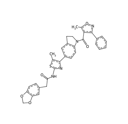 Cc1onc(-c2ccccc2)c1C(=O)N1CCc2cc(-c3nc(NC(=O)Cc4ccc5c(c4)OCO5)sc3C)ccc21